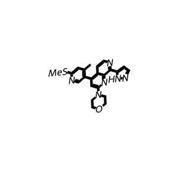 CSc1cc(C)c(-c2cc(N3CCOCC3)nc3c(-c4ccn[nH]4)nccc23)cn1